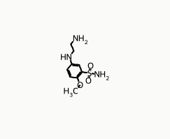 COc1ccc(NCCN)cc1S(N)(=O)=O